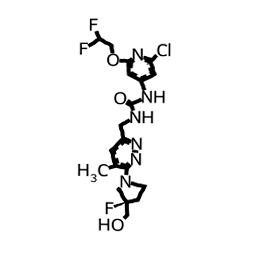 Cc1cc(CNC(=O)Nc2cc(Cl)nc(OCC(F)F)c2)nnc1N1CC[C@](F)(CO)C1